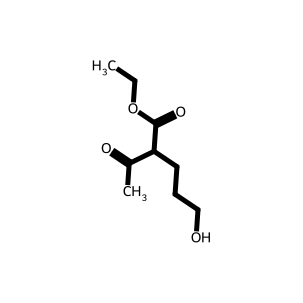 CCOC(=O)C(CCCO)C(C)=O